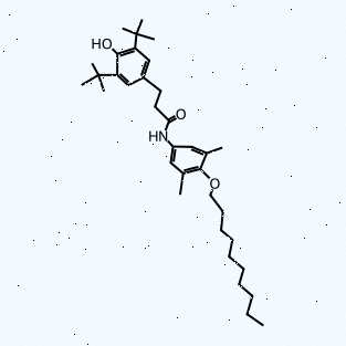 CCCCCCCCCCOc1c(C)cc(NC(=O)CCc2cc(C(C)(C)C)c(O)c(C(C)(C)C)c2)cc1C